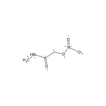 CNC(=O)CO[N+](=O)[O-]